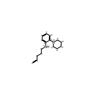 C=CCCCNc1ccccc1N1CCCCC1